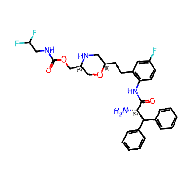 N[C@H](C(=O)Nc1ccc(F)cc1CC[C@@H]1CN[C@H](COC(=O)NCC(F)F)CO1)C(c1ccccc1)c1ccccc1